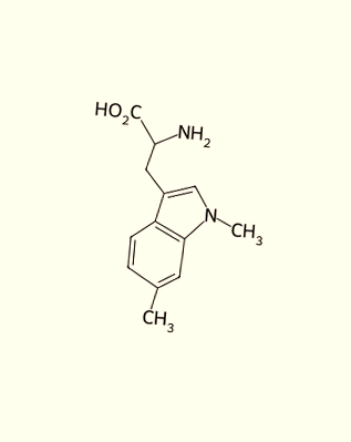 Cc1ccc2c(CC(N)C(=O)O)cn(C)c2c1